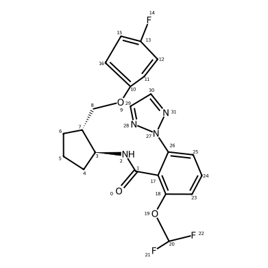 O=C(N[C@H]1CCC[C@@H]1COc1ccc(F)cc1)c1c(OC(F)F)cccc1-n1nccn1